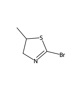 CC1CN=C(Br)S1